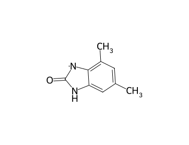 Cc1cc(C)c2c(c1)NC(=O)[N]2